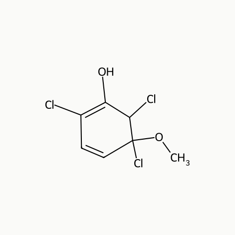 COC1(Cl)C=CC(Cl)=C(O)C1Cl